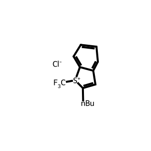 CCCCc1cc2ccccc2[s+]1C(F)(F)F.[Cl-]